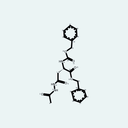 CC(=O)NNC(=O)C[C@H](NC(=O)OCc1ccccc1)C(=O)OCc1ccccc1